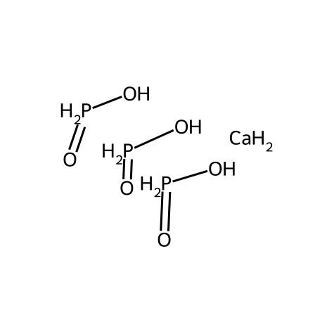 O=[PH2]O.O=[PH2]O.O=[PH2]O.[CaH2]